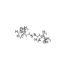 CC(C)(CCSSCCC(C)(C)[SiH2]O)[SiH2]O